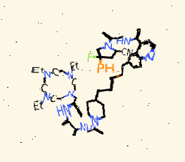 C=C(CN1CCN(CC)CCN(CC)CCN(CC)CC1)NC(C)C(=C)NCC(=C)N1CCC(CCCCCc2ccc3nccc(C(=C)NCC(=C)N4CC(F)(P)CC4C#N)c3c2)CC1